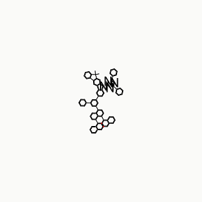 CC1(C)c2ccccc2-c2cc3c4cc(-c5cc(-c6ccccc6)cc(-c6ccc(-c7cccc8ccccc78)c7c(-c8cccc9ccccc89)cccc67)c5)ccc4n(-c4nc(-c5ccccc5)nc(-c5ccccc5)n4)c3cc21